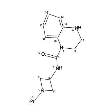 CC(C)N1CC(NC(=O)N2CCNc3ccccc32)C1